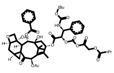 CCCC(=O)OCC(=O)OC(=O)O[C@@H](C(=O)O[C@H]1C[C@@]2(O)[C@@H](OC(=O)c3ccccc3)[C@@H]3[C@]4(OC(C)=O)CO[C@@H]4C[C@@H]4C[C@@]43C(=O)[C@H](OC(C)=O)C(=C1C)C2(C)C)[C@@H](NC(=O)OC(C)(C)C)c1ccccc1